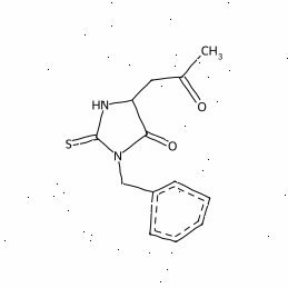 CC(=O)CC1NC(=S)N(Cc2ccccc2)C1=O